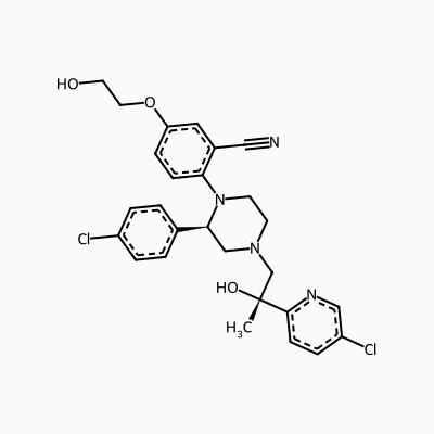 C[C@@](O)(CN1CCN(c2ccc(OCCO)cc2C#N)[C@H](c2ccc(Cl)cc2)C1)c1ccc(Cl)cn1